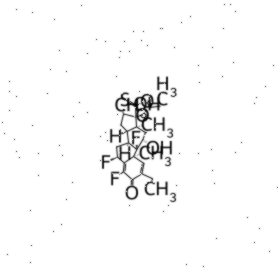 CCC(=O)O[C@]1(C(O)=S)[C@@H](C)C[C@H]2[C@@H]3C[C@H](F)C4=C(F)C(=O)C(CC)=C[C@]4(C)[C@@]3(F)[C@@H](O)C[C@@]21C